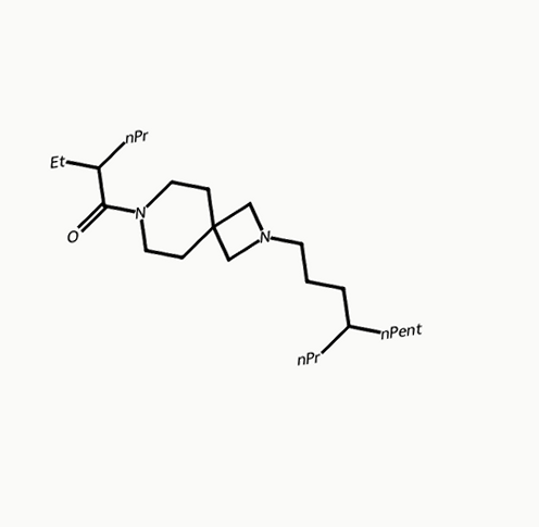 CCCCCC(CCC)CCCN1CC2(CCN(C(=O)C(CC)CCC)CC2)C1